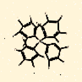 Fc1cc([B-](c2c(F)c(F)c(F)c(F)c2F)(c2c(F)c(F)c(F)c(F)c2F)c2c(F)c(F)c(F)c(F)c2F)cc(F)c1F